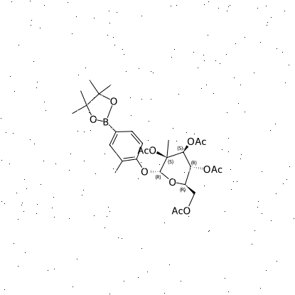 CC(=O)OC[C@H]1O[C@H](Oc2ccc(B3OC(C)(C)C(C)(C)O3)cc2C)[C@@](C)(OC(C)=O)[C@@H](OC(C)=O)[C@@H]1OC(C)=O